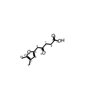 Cc1cc(CC(=O)CCC(=O)O)oc1C